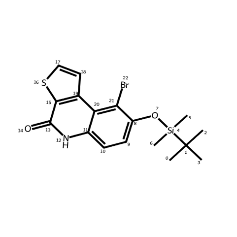 CC(C)(C)[Si](C)(C)Oc1ccc2[nH]c(=O)c3sccc3c2c1Br